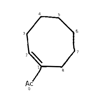 [CH2]C(=O)C1=CCCCCCC1